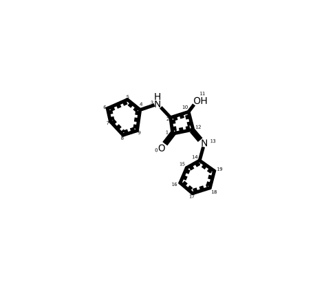 O=c1c(Nc2ccccc2)c(O)c1=Nc1ccccc1